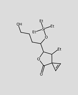 CCC1C(C(CCCO)O[Si](CC)(CC)CC)OC(=O)C12C=C2